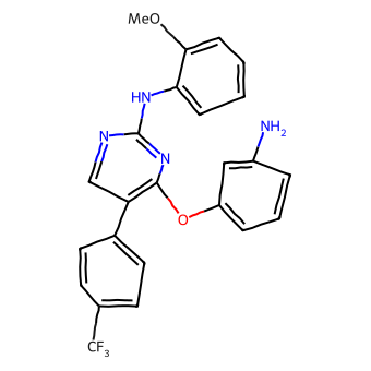 COc1ccccc1Nc1ncc(-c2ccc(C(F)(F)F)cc2)c(Oc2cccc(N)c2)n1